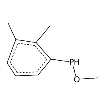 COPc1cccc(C)c1C